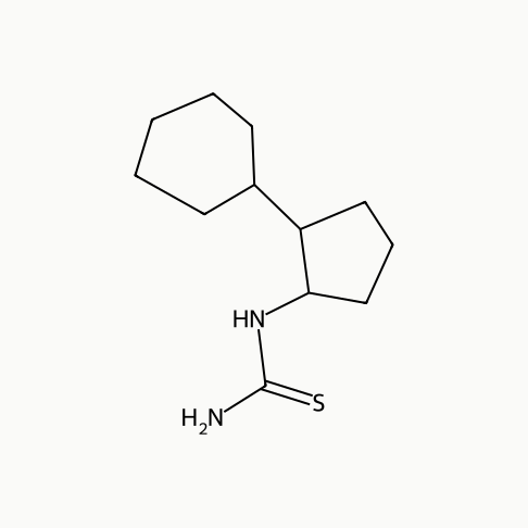 NC(=S)NC1CCCC1C1CCCCC1